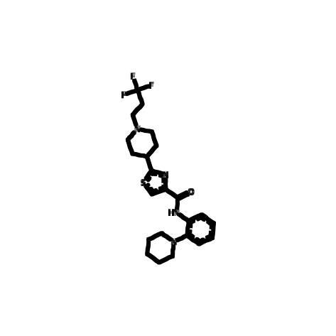 O=C(Nc1ccccc1N1CCCCC1)c1csc(C2CCN(CCC(F)(F)F)CC2)n1